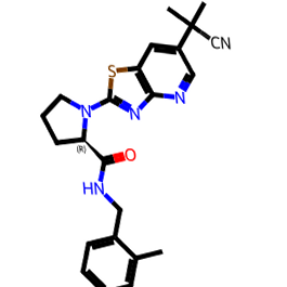 Cc1ccccc1CNC(=O)[C@H]1CCCN1c1nc2ncc(C(C)(C)C#N)cc2s1